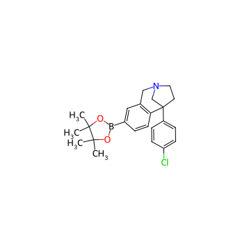 CC1(C)OB(c2ccc3c(c2)CN2CCC3(c3ccc(Cl)cc3)C2)OC1(C)C